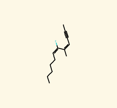 CC#C/C=C(C)\C(F)=C/CCCCC